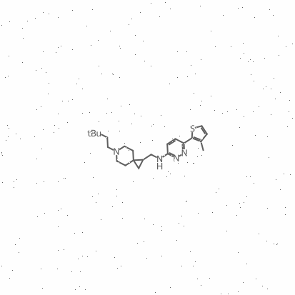 Cc1ccsc1-c1ccc(NCC2CC23CCN(CCC(C)(C)C)CC3)nn1